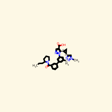 CCCC1CCCCN1C(=O)c1cccc(-c2cc(C)cc(-n3ncc(C(=O)O)c3[C@H]3C[C@@H]3c3cn(C)nn3)c2)c1